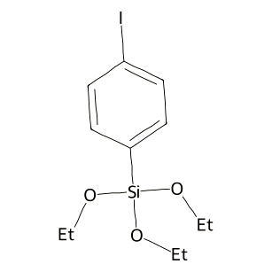 CCO[Si](OCC)(OCC)c1ccc(I)cc1